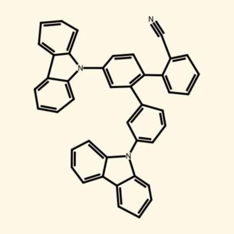 N#Cc1ccccc1-c1ccc(-n2c3ccccc3c3ccccc32)cc1-c1cccc(-n2c3ccccc3c3ccccc32)c1